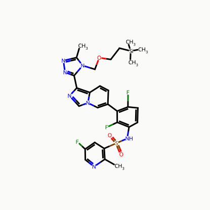 Cc1ncc(F)cc1S(=O)(=O)Nc1ccc(F)c(-c2ccc3c(-c4nnc(C)n4COCC[Si](C)(C)C)ncn3c2)c1F